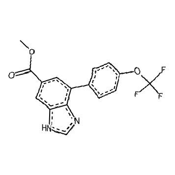 COC(=O)c1cc(-c2ccc(OC(F)(F)F)cc2)c2nc[nH]c2c1